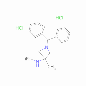 CC(C)NC1(C)CN(C(c2ccccc2)c2ccccc2)C1.Cl.Cl